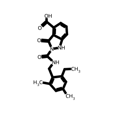 CCc1cc(C)cc(C)c1CNC(=O)n1[nH]c2cccc(C(=O)O)c2c1=O